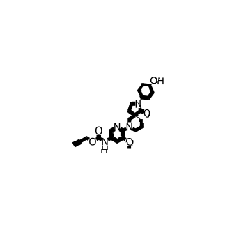 C#CCOC(=O)Nc1cnc(N2CCC[C@@]3(CCN([C@H]4CC[C@H](O)CC4)C3=O)C2)c(OC)c1